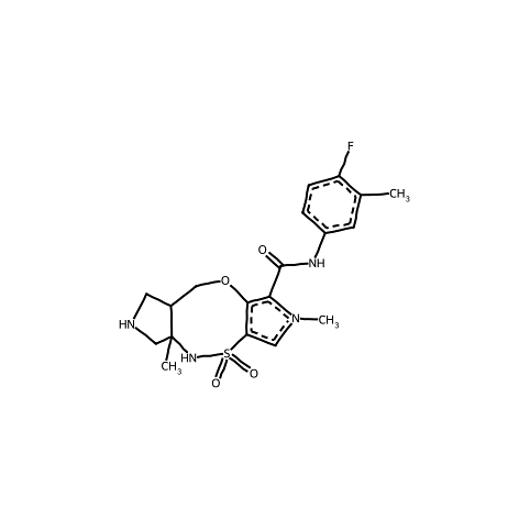 Cc1cc(NC(=O)c2c3c(cn2C)S(=O)(=O)NC2(C)CNCC2CO3)ccc1F